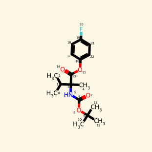 CC(C)C(C)(NC(=O)OC(C)(C)C)C(=O)Oc1ccc(F)cc1